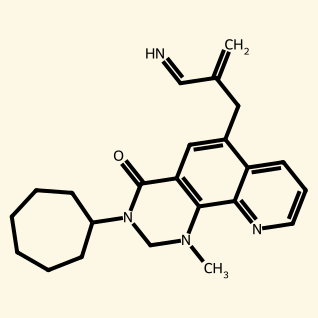 C=C(C=N)Cc1cc2c(c3ncccc13)N(C)CN(C1CCCCCC1)C2=O